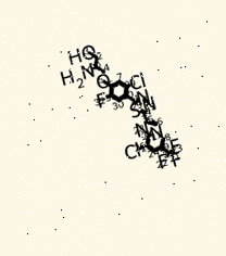 N[C@@H](CO)COc1cc(Cl)c(-c2nnc(-c3cn4cc(C(F)(F)F)cc(Cl)c4n3)s2)cc1F